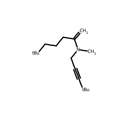 C=C(CCCC(C)(C)C)N(C)CC#CC(C)(C)C